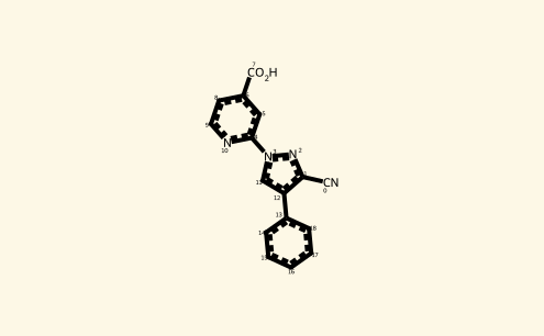 N#Cc1nn(-c2cc(C(=O)O)ccn2)cc1-c1ccccc1